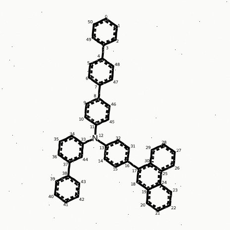 c1ccc(-c2ccc(-c3ccc(N(c4ccc(-c5cc6ccccc6c6ccccc56)cc4)c4cccc(-c5ccccc5)c4)cc3)cc2)cc1